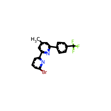 Cc1cc(-c2ccc(C(F)(F)F)cc2)nc(-c2cccc(Br)n2)c1